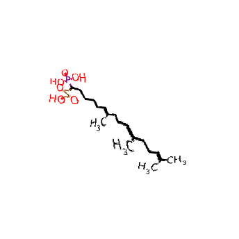 CC(C)=CCC/C(C)=C/CC/C(C)=C/CCCCC(P(=O)(O)O)S(=O)(=O)O